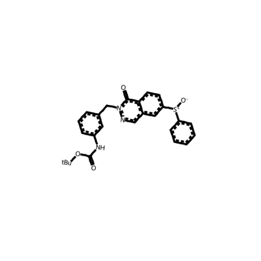 CC(C)(C)OC(=O)Nc1cccc(Cn2ncc3cc([S+]([O-])c4ccccc4)ccc3c2=O)c1